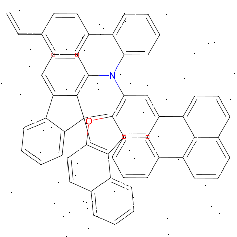 C=Cc1ccc(-c2ccccc2N(c2cccc3c2C(C)(C)c2ccccc2-3)c2cc(-c3cccc4cccc(-c5ccccc5)c34)cc3c2oc2ccc4ccccc4c23)cc1